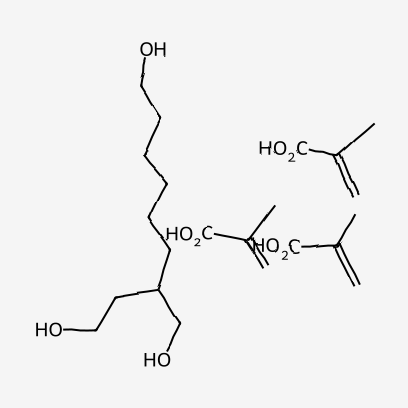 C=C(C)C(=O)O.C=C(C)C(=O)O.C=C(C)C(=O)O.OCCCCCCC(CO)CCO